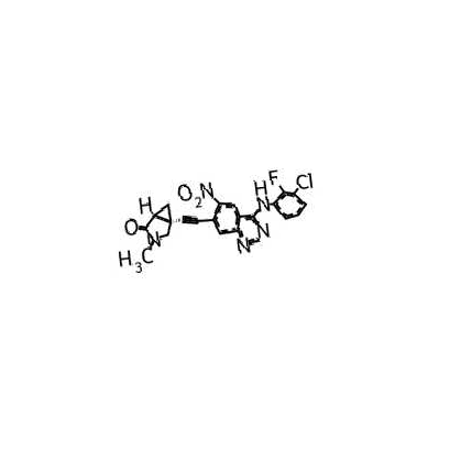 CN1C[C@]2(C#Cc3cc4ncnc(Nc5cccc(Cl)c5F)c4cc3[N+](=O)[O-])C[C@@H]2C1=O